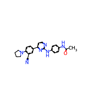 CC(=O)Nc1ccc(Nc2nccc(-c3ccc(N4CCCC4)c(C#N)c3)n2)cc1